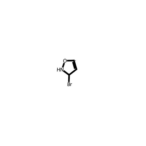 BrC1C=[C]ON1